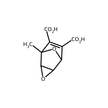 CC12OC(C(C(=O)O)=C1C(=O)O)C1OC12